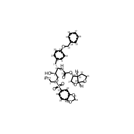 CC(C)CN(C[C@@H](O)[C@H](Cc1ccc(OCc2ccccc2)cc1)NC(=O)O[C@H]1CO[C@H]2OCC[C@H]21)S(=O)(=O)c1ccc2c(c1)OCO2